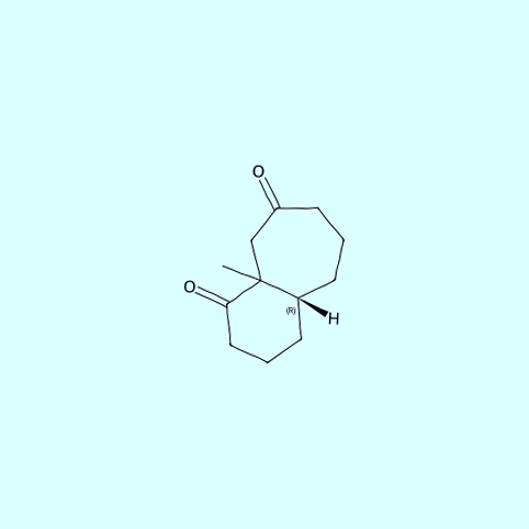 CC12CC(=O)CCC[C@@H]1CCCC2=O